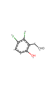 O=CCc1c(O)ccc(F)c1F